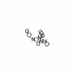 COc1ccc(CN2CCC3(CC2)C(=O)NC(Cc2ccccc2)C(=O)N3Cc2ccco2)cc1